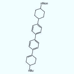 CCCCCCCCCC1CCC(c2ccc(-c3ccc(C4=CCC(CCCC)CC4)cc3)cc2)CC1